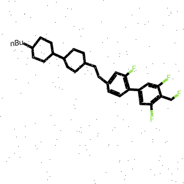 CCCCC1CCC(C2CCC(CCc3ccc(-c4cc(F)c(CF)c(F)c4)c(F)c3)CC2)CC1